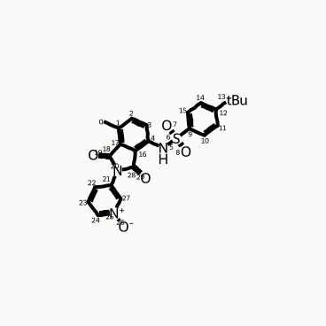 Cc1ccc(NS(=O)(=O)c2ccc(C(C)(C)C)cc2)c2c1C(=O)N(c1ccc[n+]([O-])c1)C2=O